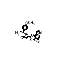 COc1ccc([C@@H](C)N2C[C@H]([C@@H](C)Oc3cc(Br)cn4nccc34)CC2=O)cc1